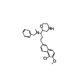 COc1ccc2cc(CCC(C3CNCCO3)N(C)Cc3ccccc3)ccc2c1Cl